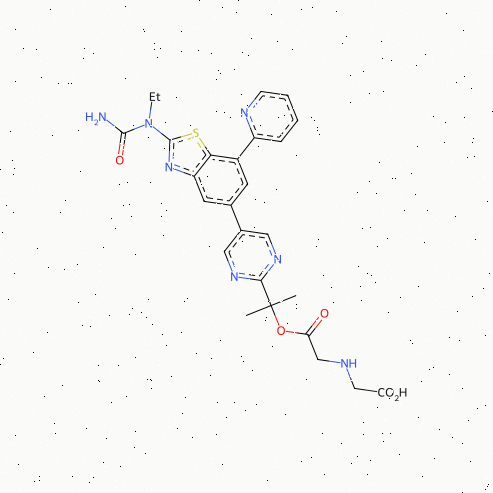 CCN(C(N)=O)c1nc2cc(-c3cnc(C(C)(C)OC(=O)CNCC(=O)O)nc3)cc(-c3ccccn3)c2s1